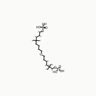 CC(C)(CCCCOCCCCC(C)(C)COP(=O)(O)O)CCCOP(=O)(O)O